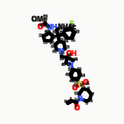 C=CC(=O)N1CCCC[C@@H](S(=O)(=O)c2ccc(N3CC(O)(CN4CCC(C(CNC(C)=O)(c5cccc(F)c5)[C@H]5CCC[C@@H]5NC(=O)OC)CC4)C3)cc2)C1